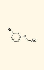 CC(=O)CSc1cccc(Br)c1